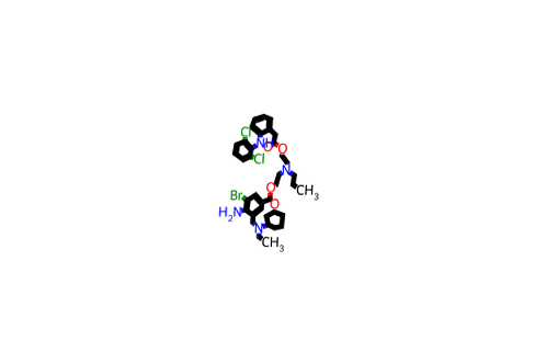 CCCN(CCOC(=O)Cc1ccccc1Nc1c(Cl)cccc1Cl)CCOC(=O)c1cc(Br)c(N)c(CN(CC)C2CCCCC2)c1